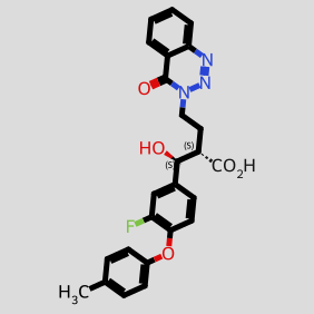 Cc1ccc(Oc2ccc([C@@H](O)[C@H](CCn3nnc4ccccc4c3=O)C(=O)O)cc2F)cc1